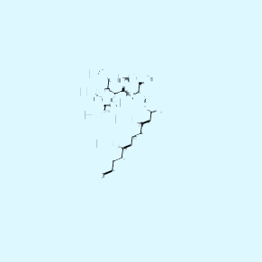 CC=CCC/C(C)=C/CC/C(C)=C/C(C)SC[C@H](NC(=O)[C@@H](NC(C)=O)[C@@H](C)CC)C(=O)O